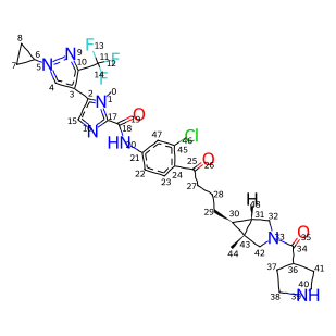 Cn1c(-c2cn(C3CC3)nc2C(F)(F)F)cnc1C(=O)Nc1ccc(C(=O)CCC[C@H]2[C@@H]3CN(C(=O)C4CCNCC4)C[C@]23C)c(Cl)c1